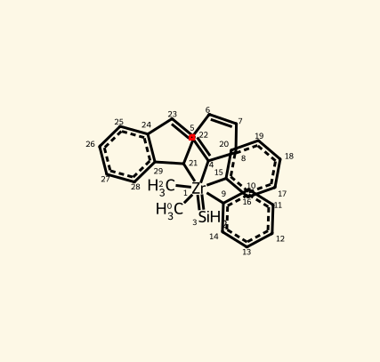 [CH3][Zr]([CH3])(=[SiH2])([C]1=CC=CC1)([c]1ccccc1)([c]1ccccc1)[CH]1C=Cc2ccccc21